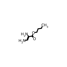 CCCCOC(=O)C(N)=CN